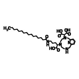 CCCCCCCCCCCCCCCC(=O)NCCCC(C(=O)O)N1CCNCc2cccc(n2)CN(C(C(=O)O)C(=O)O)CC1